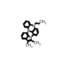 CCCN1c2ccccc2B2c3c1cccc3-n1c(C)c(C)c3cccc2c31